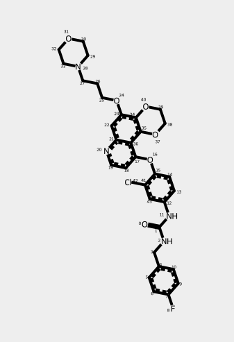 O=C(NCc1ccc(F)cc1)Nc1ccc(Oc2ccnc3cc(OCCCN4CCOCC4)c4c(c23)OCCO4)c(Cl)c1